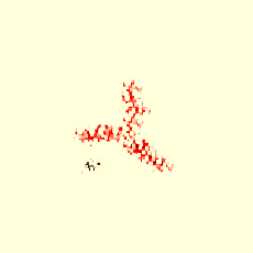 O=P([O][Mo](=[O])(=[O])[O][Mo](=[O])(=[O])[O][Mo](=[O])(=[O])[O][Mo](=[O])(=[O])[O-])([O][Mo](=[O])(=[O])[O][Mo](=[O])(=[O])[O][Mo](=[O])(=[O])[O][Mo](=[O])(=[O])[O-])[O][Mo](=[O])(=[O])[O][Mo](=[O])(=[O])[O][Mo](=[O])(=[O])[O][Mo](=[O])(=[O])[O-].[Al+3].[Al+3].[Zn+2]